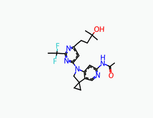 CC(=O)Nc1cc2c(cn1)C1(CC1)CN2c1cc(CCC(C)(C)O)nc(C(C)(F)F)n1